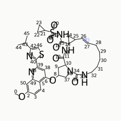 COc1ccc2c(OC3CC4C(=O)NC5(C(=O)NS(=O)(=O)C6CC6)CC5/C=C/CCCCCNC(=O)N4C3)cc(-c3nc(C(C)C)cs3)nc2c1